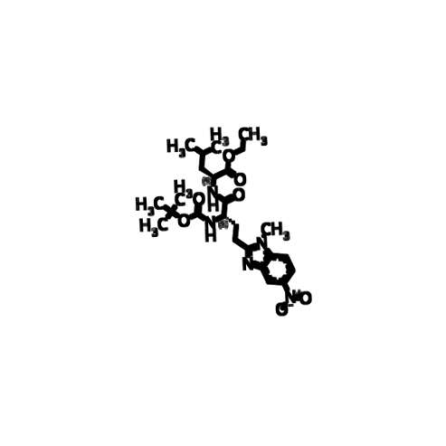 CCOC(=O)[C@H](CC(C)C)NC(=O)[C@H](CCc1nc2cc([N+](=O)[O-])ccc2n1C)NC(=O)OC(C)(C)C